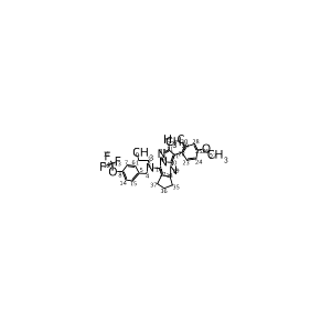 CCCN(Cc1ccc(OC(F)(F)F)cc1)c1c2c(nc3c(-c4ccc(OC)cc4C)c(C)nn13)CCC2